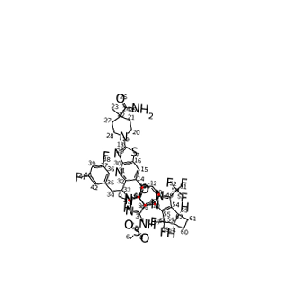 Cn1nc(NS(C)(=O)=O)c2cccc(-c3cc4sc(N5CCC(C)(C(N)=O)CC5)nc4nc3C(Cc3cc(F)cc(F)c3)NC(=O)Cn3nc(C(F)(F)F)c4c3C(F)(F)[C@@H]3CC[C@H]43)c21